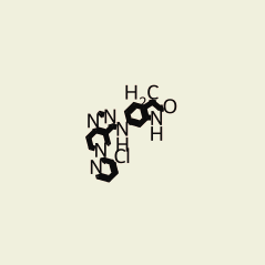 C=C1C(=O)Nc2cc(Nc3ncnc4c3CN(c3ncccc3Cl)CC4)ccc21